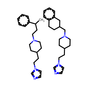 CC(CCN1CCC(CCn2ccnc2)CC1)c1ccccc1.c1ccc2c(c1)CCC(CN1CCC(CCn3ccnc3)CC1)C2